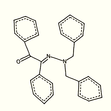 O=C(/C(=N/N(Cc1ccccc1)Cc1ccccc1)c1ccccc1)c1ccccc1